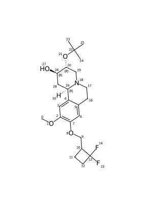 COc1cc2c(cc1OCC1CCC1(F)F)CCN1C[C@@H](OC(C)(C)C)[C@H](O)C[C@H]21